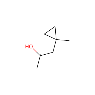 C[C](O)CC1(C)CC1